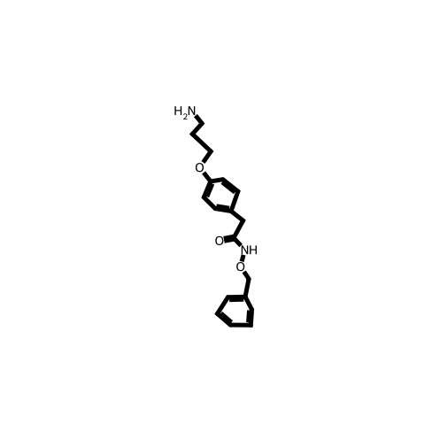 NCCCOc1ccc(CC(=O)NOCc2ccccc2)cc1